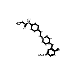 CCN(C(=O)CO)C1CCC(CCN2CCC(Cc3cc(OC)ccc3Br)CC2)CC1